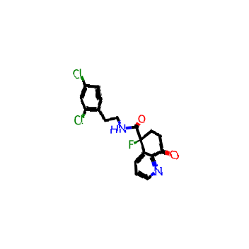 O=C1CC[C@@](F)(C(=O)NCCc2ccc(Cl)cc2Cl)c2cccnc21